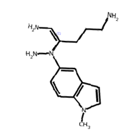 Cn1ccc2cc(N(N)/C(=C\N)CCCN)ccc21